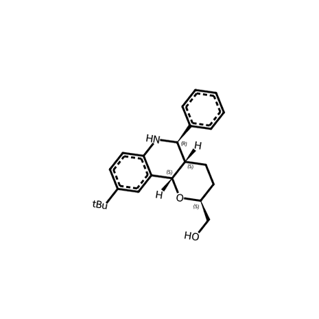 CC(C)(C)c1ccc2c(c1)[C@H]1O[C@H](CO)CC[C@H]1[C@H](c1ccccc1)N2